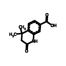 CC1(C)CC(=O)Nc2cc(C(=O)O)ccc21